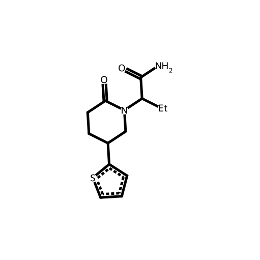 CCC(C(N)=O)N1CC(c2cccs2)CCC1=O